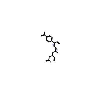 C=C/C(=C\C=C(\C)CC(C=C)CC(=C)F)c1ccc(C(=C)C)cc1